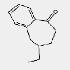 CCC1CCC(=O)c2ccccc2C1